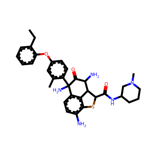 CCc1ccccc1Oc1ccc(C2(N)C(=O)C(N)C3c4c2ccc(N)c4SC3C(=O)NC2CCCN(C)C2)c(C)c1